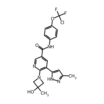 Cc1cc(-c2cc(C(=O)Nc3ccc(OC(F)(F)Cl)cc3)cnc2N2CC(C)(O)C2)[nH]n1